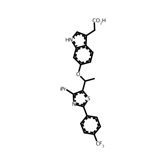 CC(C)c1nc(-c2ccc(C(F)(F)F)cc2)sc1C(C)Oc1ccc2c(CC(=O)O)c[nH]c2c1